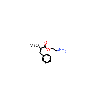 COC(=Cc1ccccc1)C(=O)OCCN